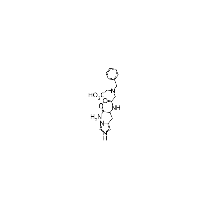 NC(=O)C(Cc1c[nH]cn1)NC(=O)CN(CC(=O)O)Cc1ccccc1